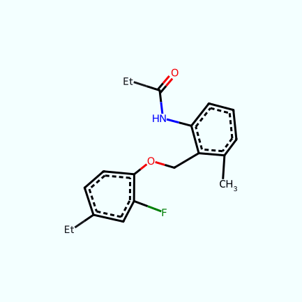 CCC(=O)Nc1cccc(C)c1COc1ccc(CC)cc1F